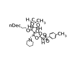 CCCCCCCCCCCCO[C@@H]1[C@H]2OC(C)(C)O[C@H]2O[C@@H]1[C@@H](CN1CCCCC1)OC(=O)NS(=O)(=O)c1ccc(C)cc1